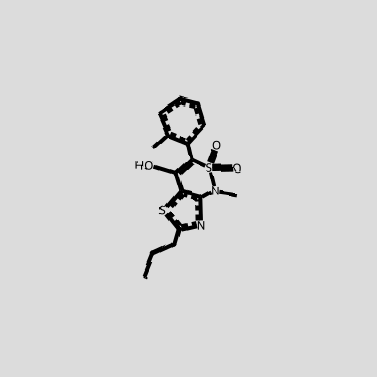 CCCc1nc2c(s1)C(O)=C(c1ccccc1C)S(=O)(=O)N2C